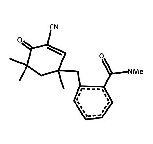 CNC(=O)c1ccccc1CC1(C)C=C(C#N)C(=O)C(C)(C)C1